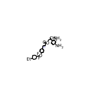 [CH2]C(COC(=O)/C=C/c1ccc(OC(F)(F)C2CCC(CC)CC2)cc1)c1ccc(N)cc1N